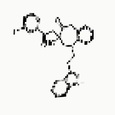 O=C(CC1(O)CN(CCc2c[nH]c3ccccc23)c2ccccc2CC1=O)c1cccc(F)c1